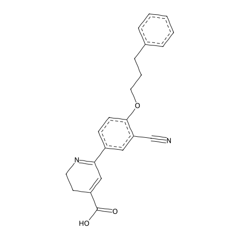 N#Cc1cc(C2=NCCC(C(=O)O)=C2)ccc1OCCCc1ccccc1